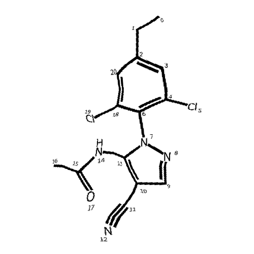 CCc1cc(Cl)c(-n2ncc(C#N)c2NC(C)=O)c(Cl)c1